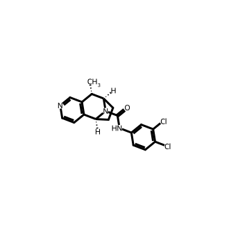 C[C@H]1c2cnccc2[C@@H]2CC[C@H]1N2C(=O)Nc1ccc(Cl)c(Cl)c1